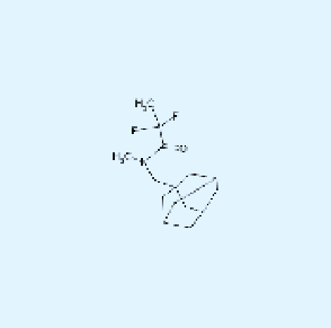 CN(CC12CC3CC(CC(C3)C1)C2)C(=O)C(C)(F)F